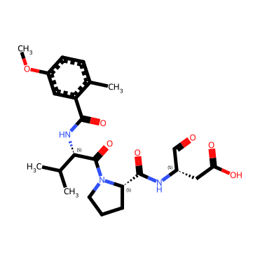 COc1ccc(C)c(C(=O)N[C@H](C(=O)N2CCC[C@H]2C(=O)N[C@H](C=O)CC(=O)O)C(C)C)c1